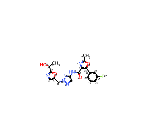 Cc1nc(C(=O)Nc2cnn(Cc3cnc(C(C)O)o3)n2)c(-c2cccc(F)c2)o1